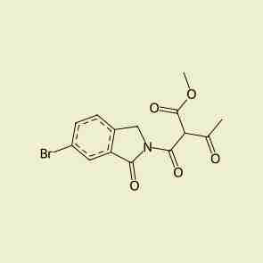 COC(=O)C(C(C)=O)C(=O)N1Cc2ccc(Br)cc2C1=O